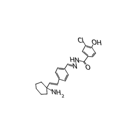 NC1(/C=C/c2ccc(/C=N/NC(=O)c3ccc(O)c(Cl)c3)cc2)CCCCC1